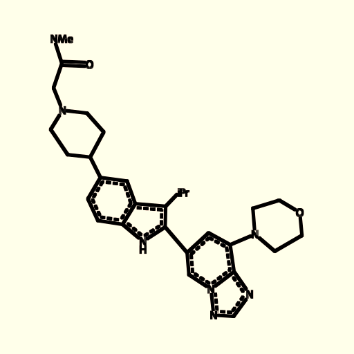 CNC(=O)CN1CCC(c2ccc3[nH]c(-c4cc(N5CCOCC5)c5ncnn5c4)c(C(C)C)c3c2)CC1